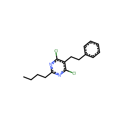 CCCCc1nc(Cl)c(CCc2ccccc2)c(Cl)n1